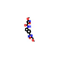 COCc1nc(-c2ccc3c(c2)CC[C@H]3NC(=O)c2cc(OC)no2)no1